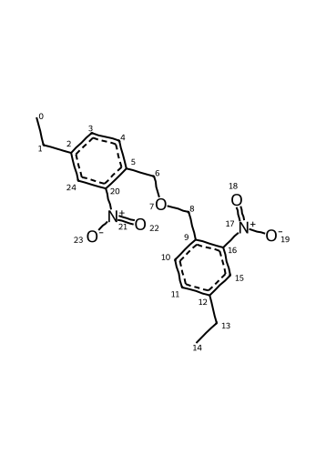 CCc1ccc(COCc2ccc(CC)cc2[N+](=O)[O-])c([N+](=O)[O-])c1